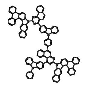 c1ccc(-n2c3ccccc3c3cc(-c4nc(-n5c6cc7ccccc7cc6c6c7c8ccccc8c8ccccc8c7ccc65)nc5cc(-c6ccc(-n7c8ccccc8c8cc(-c9nc(-n%10c%11cc%12ccccc%12cc%11c%11c%12c%13ccccc%13c%13ccccc%13c%12ccc%11%10)nc%10c9ccc9ccccc9%10)ccc87)cc6)c6ccccc6c45)ccc32)cc1